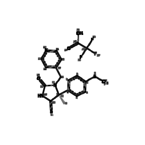 C[C@]1(c2ccc(SC(F)(F)F)cc2)C(=S)NC(=O)N1Cc1ccncc1.O=C(O)C(F)(F)F